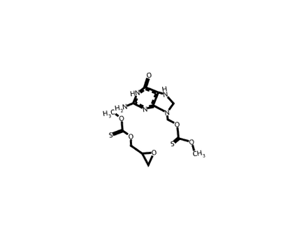 COC(=S)OCC1CO1.COC(=S)OCN1CNc2c1nc(N)[nH]c2=O